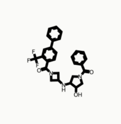 O=C(c1ccccc1)N1CC(O)C(NC2CN(C(=O)c3ccc(-c4ccccc4)cc3C(F)(F)F)C2)C1